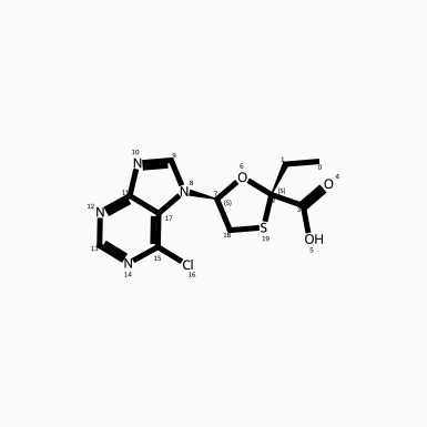 CC[C@]1(C(=O)O)O[C@H](n2cnc3ncnc(Cl)c32)CS1